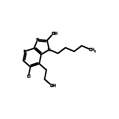 CCCCCn1c(O)nc2ncc(Cl)c(CCO)c21